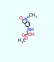 CCCN1C(=O)Cc2cc(NCC(O)C(=O)OC)ccc21